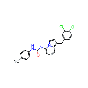 N#Cc1ccc(NC(=O)Nc2cccc3c(Cc4ccc(Cl)c(Cl)c4)ccn23)cc1